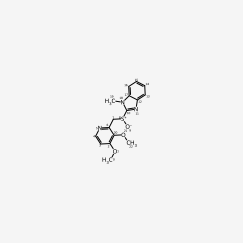 COc1ccnc(C[S+]([O-])c2nc3ccccc3n2C)c1OC